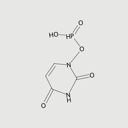 O=c1ccn(O[PH](=O)O)c(=O)[nH]1